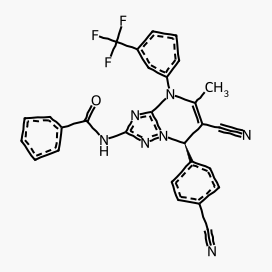 CC1=C(C#N)[C@@H](c2ccc(C#N)cc2)n2nc(NC(=O)c3ccccc3)nc2N1c1cccc(C(F)(F)F)c1